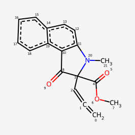 C=C=CC1(C(=O)OC)C(=O)c2c(ccc3ccccc23)N1C